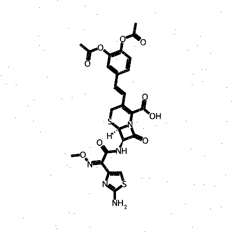 CO/N=C(\C(=O)N[C@@H]1C(=O)N2C(C(=O)O)=C(/C=C/c3ccc(OC(C)=O)c(OC(C)=O)c3)CS[C@H]12)c1csc(N)n1